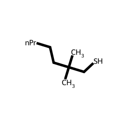 CCCCCC(C)(C)CS